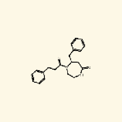 O=C1C[C@H](Cc2ccccc2)N(C(=O)CCc2ccccc2)CCN1